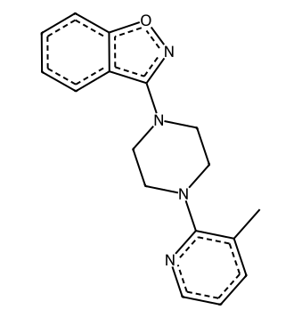 Cc1cccnc1N1CCN(c2noc3ccccc23)CC1